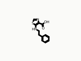 O=C(O)c1ncsc1NCCc1ccccc1